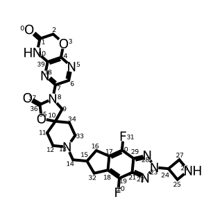 O=C1COc2ncc(N3CC4(CCN(CC5Cc6c(c(F)c7nn(C8CNC8)nc7c6F)C5)CC4)OC3=O)nc2N1